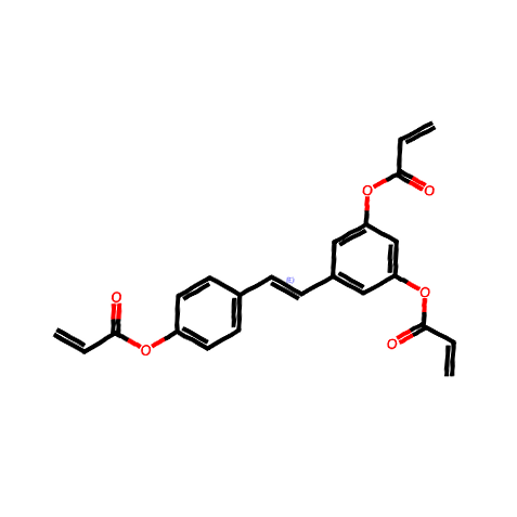 C=CC(=O)Oc1ccc(/C=C/c2cc(OC(=O)C=C)cc(OC(=O)C=C)c2)cc1